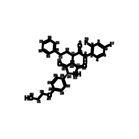 O=C(Nc1ccc(I)cc1F)[C@H](CCc1ccccc1)N1C(=O)N[C@H](c2ccc(OCCO)cc2)C1=O